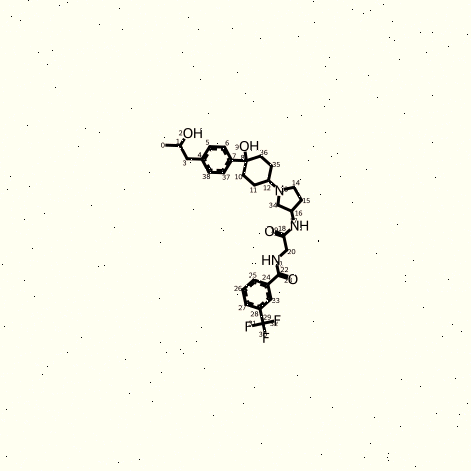 CC(O)Cc1ccc(C2(O)CCC(N3CCC(NC(=O)CNC(=O)c4cccc(C(F)(F)F)c4)C3)CC2)cc1